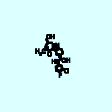 CN1CC(CO)Cn2nc3c(c2C1=O)CN(C(O)Nc1ccc(F)c(Cl)c1)CC3